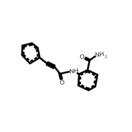 NC(=O)c1ccccc1NC(=O)C#Cc1ccccc1